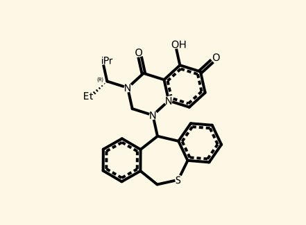 CC[C@H](C(C)C)N1CN(C2c3ccccc3CSc3ccccc32)n2ccc(=O)c(O)c2C1=O